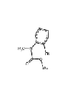 CN(C(=O)OC(C)(C)C)c1ccccc1C#N